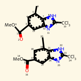 COC(=O)c1cc(C)c2[nH]c(C(Cl)(Cl)Cl)nc2c1.COC(=O)c1cc(C)c2[nH]c(C(Cl)(Cl)Cl)nc2c1